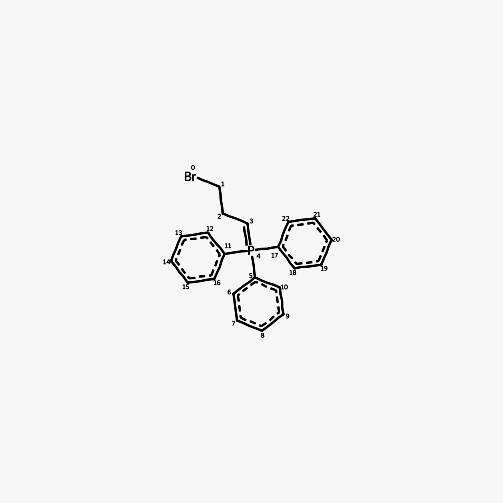 BrCCC=P(c1ccccc1)(c1ccccc1)c1ccccc1